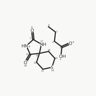 CCCC(=O)O.O=C1NC(=O)C2(CCSCC2)N1